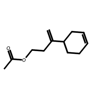 C=C(CCOC(C)=O)C1CC=CCC1